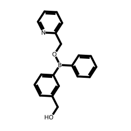 OCc1cccc(B(OCc2ccccn2)c2ccccc2)c1